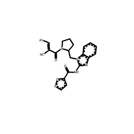 CC(C)C=C(C#N)C(=O)N1CCCC1Cn1c(NC(=O)c2ccno2)nc2ccccc21